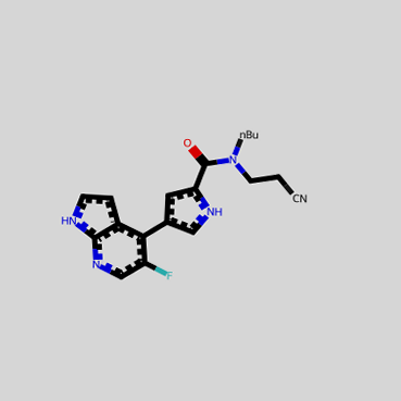 CCCCN(CCC#N)C(=O)c1cc(-c2c(F)cnc3[nH]ccc23)c[nH]1